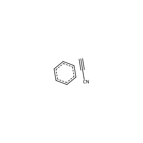 C#CC#N.c1ccccc1